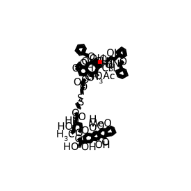 COc1cccc2c1C(=O)c1c(O)c3c(c(O)c1C2=O)CC(O)(C(=O)CO)C[C@@H]3OC1CC(NC(=O)OCCSSCCOC(=O)O[C@H]2CC3OC[C@@]3(OC(C)=O)[C@H]3[C@H](OC(=O)c4ccccc4)[C@]4(O)C[C@H](OC(=O)[C@H](O)[C@@H](NC(=O)c5ccccc5)c5ccccc5)C(C)=C([C@@H](OC(C)=O)C(=O)[C@]23C)C4(C)C)C(O)C(C)O1